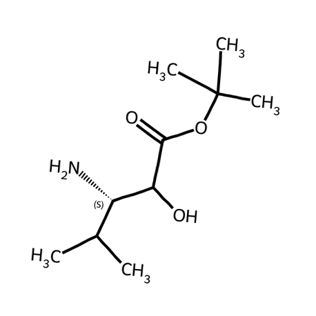 CC(C)[C@H](N)C(O)C(=O)OC(C)(C)C